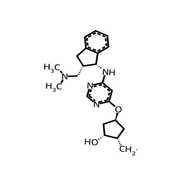 [CH2][C@H]1C[C@H](Oc2cc(N[C@H]3c4ccccc4C[C@H]3CN(C)C)ncn2)C[C@H]1O